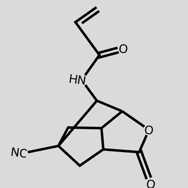 C=CC(=O)NC1C2OC(=O)C3CC1(C#N)CC32